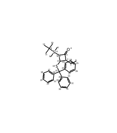 CCC1C(=O)N([Si](C)(C)C(C)(C)C)C1SC(c1ccccc1)(c1ccccc1)c1ccccc1